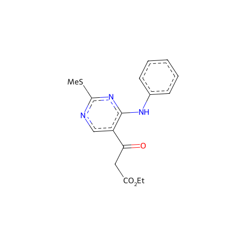 CCOC(=O)CC(=O)c1cnc(SC)nc1Nc1ccccc1